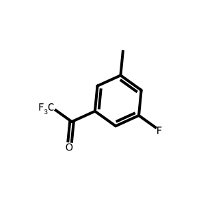 Cc1cc(F)cc(C(=O)C(F)(F)F)c1